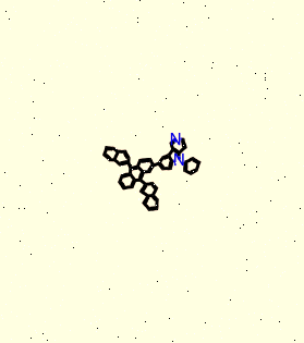 C1=CC2C=CC(c3c4ccccc4c(-c4ccc5ccccc5c4)c4cc(-c5ccc6c(c5)c5cnccc5n6-c5ccccc5)ccc34)=CC2C=C1